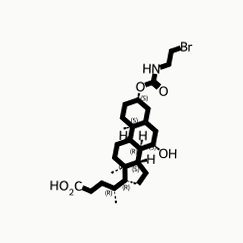 C[C@H](CCC(=O)O)[C@H]1CC[C@H]2[C@@H]3[C@@H](O)CC4C[C@@H](OC(=O)NCCBr)CC[C@]4(C)[C@H]3CC[C@]12C